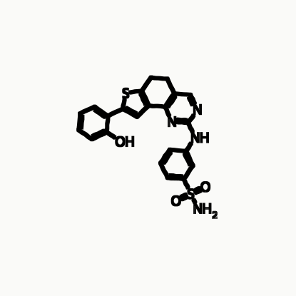 NS(=O)(=O)c1cccc(Nc2ncc3c(n2)-c2cc(-c4ccccc4O)sc2CC3)c1